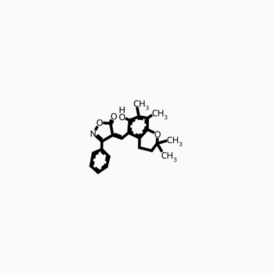 Cc1c(C)c2c(c(C=C3C(=O)ON=C3c3ccccc3)c1O)CCC(C)(C)O2